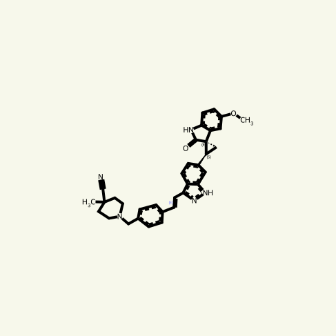 COc1ccc2c(c1)[C@]1(C[C@H]1c1ccc3c(/C=C/c4ccc(CN5CCC(C)(C#N)CC5)cc4)n[nH]c3c1)C(=O)N2